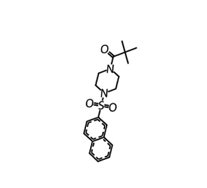 CC(C)(C)C(=O)N1CCN(S(=O)(=O)c2ccc3ccccc3c2)CC1